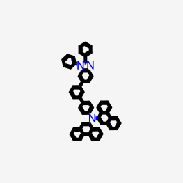 c1ccc(-c2nc3ccc(-c4cccc(-c5ccc(N(c6cc7ccccc7c7ccccc67)c6cc7ccccc7c7ccccc67)cc5)c4)cc3n2-c2ccccc2)cc1